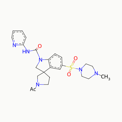 CC(=O)N1CCC2(C1)CN(C(=O)Nc1ccccn1)c1ccc(S(=O)(=O)N3CCN(C)CC3)cc12